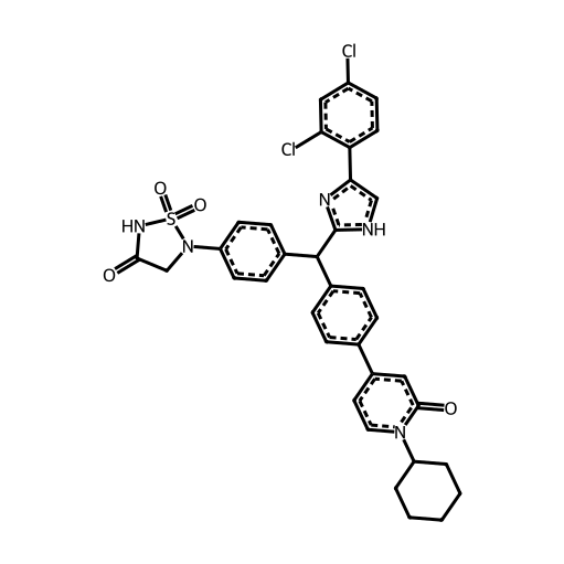 O=C1CN(c2ccc(C(c3ccc(-c4ccn(C5CCCCC5)c(=O)c4)cc3)c3nc(-c4ccc(Cl)cc4Cl)c[nH]3)cc2)S(=O)(=O)N1